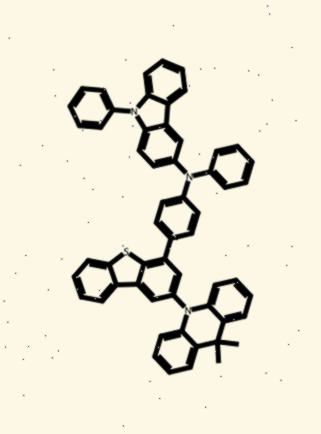 CC1(C)c2ccccc2N(c2cc(-c3ccc(N(c4ccccc4)c4ccc5c(c4)c4ccccc4n5-c4ccccc4)cc3)c3sc4ccccc4c3c2)c2ccccc21